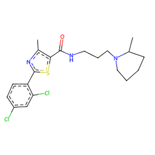 Cc1nc(-c2ccc(Cl)cc2Cl)sc1C(=O)NCCCN1CCCCC1C